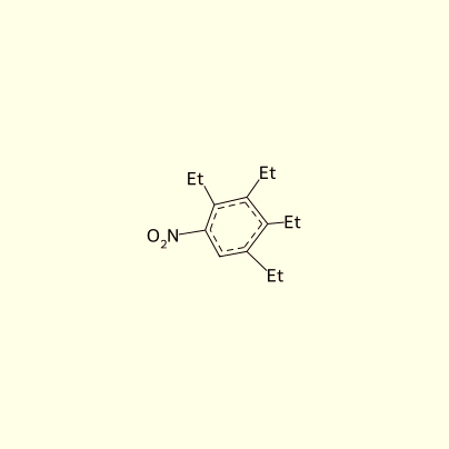 CCc1cc([N+](=O)[O-])c(CC)c(CC)c1CC